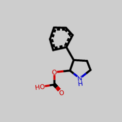 O=C(O)OC1NCCC1c1ccccc1